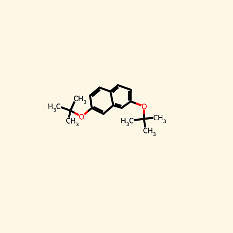 CC(C)(C)Oc1ccc2ccc(OC(C)(C)C)cc2c1